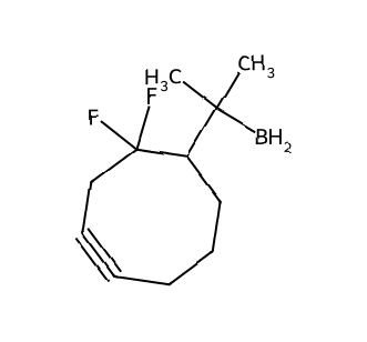 BC(C)(C)C1CCCC#CCC1(F)F